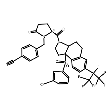 N#Cc1ccc(CN2C(=O)CC[C@H]2C(=O)N2CCC3(S(=O)(=O)c4cccc(Cl)c4)c4ccc(C(F)(C(F)(F)F)C(F)(F)F)cc4CCC23)cc1